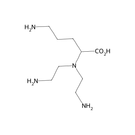 NCCCC(C(=O)O)N(CCN)CCN